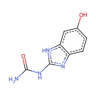 NC(=O)Nc1nc2ccc(O)cc2[nH]1